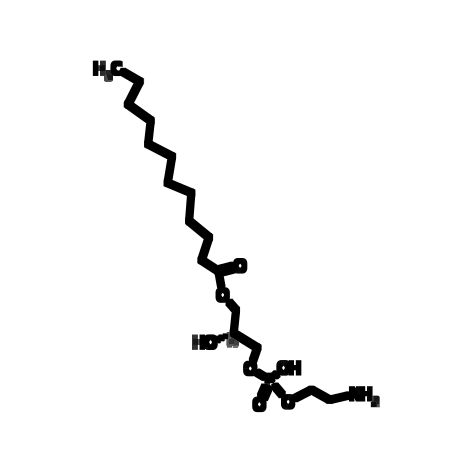 CCCCCCCCCCCC(=O)OC[C@@H](O)COP(=O)(O)OCCN